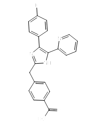 O=C(O)c1ccc(Cc2nc(-c3ccc(F)cc3)c(-c3ccccn3)[nH]2)cc1